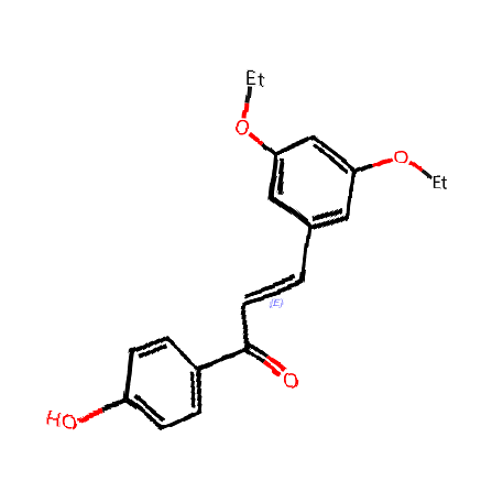 CCOc1cc(/C=C/C(=O)c2ccc(O)cc2)cc(OCC)c1